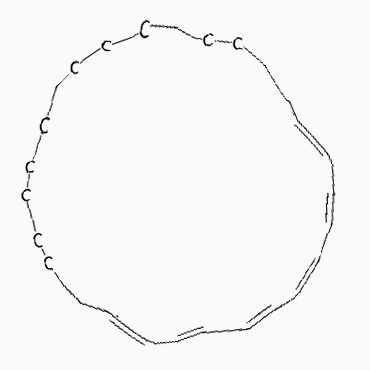 [C]1=C/C=C\C=C/C=C\C=C/C=C\CCCCCCCCCCCCCCC\1